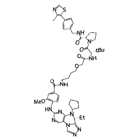 CC[C@@H]1c2nncn2-c2cnc(Nc3ccc(C(=O)NCCCCOCC(=O)N[C@H](C(=O)N4CCC[C@H]4C(=O)NCc4ccc(-c5scnc5C)cc4)C(C)(C)C)cc3OC)nc2N1C1CCCC1